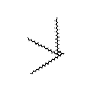 [CH2]c1cc(CCCCCCCCCCCCCCCCCC)c(CCCCCCCCCCCCCCCCCC)c(CCCCCCCCCCCCCCCCCC)c1